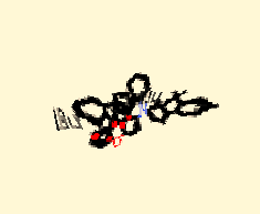 CC(C)(C)c1ccc2c(c1)C1(c3ccccc3Oc3ccc(N(c4ccc5c(c4)C(C)(C)c4ccccc4-5)c4ccccc4-c4ccc(-c5ccccc5)cc4)cc31)c1cc(C(C)(C)C)ccc1-2